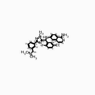 CCc1ccc(F)c(C(Nc2ccc3c(N)nccc3c2)c2nc(-c3cccc(CN(C)C)c3)nn2C)c1